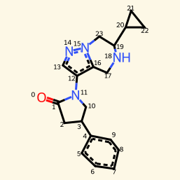 O=C1CC(c2ccccc2)CN1c1cnn2c1CNC(C1CC1)C2